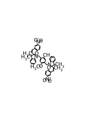 COc1cc(CN2c3ccccc3C(C)(C)C23C=Cc2cc([N+](=O)[O-])ccc2O3)c(C)cc1CN1c2ccccc2C(C)(C)C12C=Cc1cc([N+](=O)[O-])ccc1O2